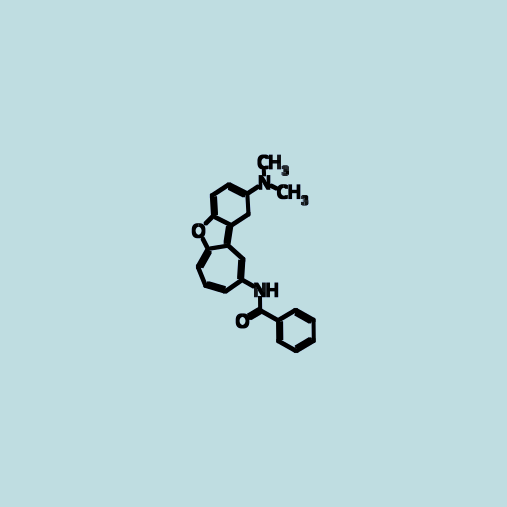 CN(C)C1=CC=c2oc3c(c2C1)C=C(NC(=O)c1ccccc1)C=CC=3